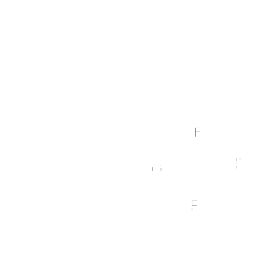 FC(F)(F)Oc1cccc2c1CC[CH]2